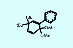 COC1(OC)C=CC(C(C)(C)C)(C(C)(C)C)C=C1c1ccccc1